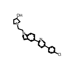 O[C@@H]1CCN(CCn2ccc3cc(-c4ccc(-c5ccc(Cl)cc5)cn4)ccc32)C1